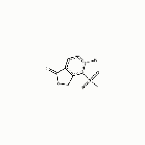 CS(=O)(=O)c1c(Br)ccc2c1COC2=O